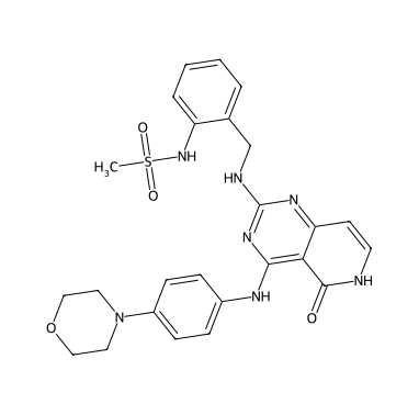 CS(=O)(=O)Nc1ccccc1CNc1nc(Nc2ccc(N3CCOCC3)cc2)c2c(=O)[nH]ccc2n1